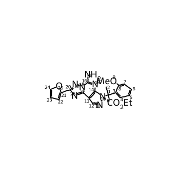 CCOC(=O)C(C)(c1ccccc1OC)n1ncc2c1nc(N)n1nc(-c3ccco3)nc21